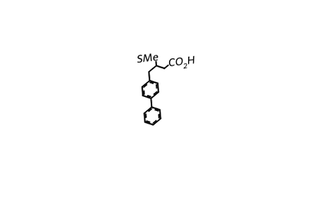 CSC(CC(=O)O)Cc1ccc(-c2ccccc2)cc1